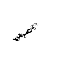 Cc1csc(C(C)(C)NC(=O)C2C3CN(C(=O)OC(C)(C)C)CC32)n1